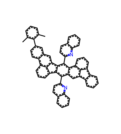 Cc1cccc(C)c1-c1ccc2c(c1)cc1c3c(-c4ccc5ccccc5n4)c4c(cc5c6ccccc6c6cccc4c65)c(-c4ccc5ccccc5n4)c3c3cccc2c31